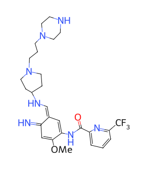 COC1=CC(=N)/C(=C\NC2CCN(CCCN3CCNCC3)CC2)C=C1NC(=O)c1cccc(C(F)(F)F)n1